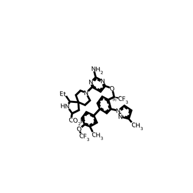 CCC1NC(C(=O)O)CC12CCN(c1cc(O[C@H](c3ccc(-c4ccc(OC(F)(F)F)c(C)c4)cc3-n3ccc(C)n3)C(F)(F)F)nc(N)n1)CC2